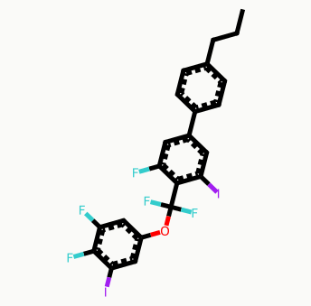 CCCc1ccc(-c2cc(F)c(C(F)(F)Oc3cc(F)c(F)c(I)c3)c(I)c2)cc1